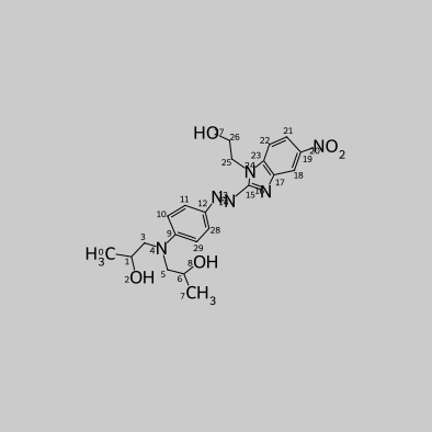 CC(O)CN(CC(C)O)c1ccc(N=Nc2nc3cc([N+](=O)[O-])ccc3n2CCO)cc1